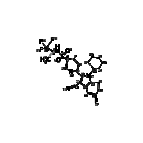 C[C@@H](NS(=O)(=O)c1ccc(-c2c(C#N)c3cc(F)ccc3n2C2CCCCC2)nc1)C(F)(F)F